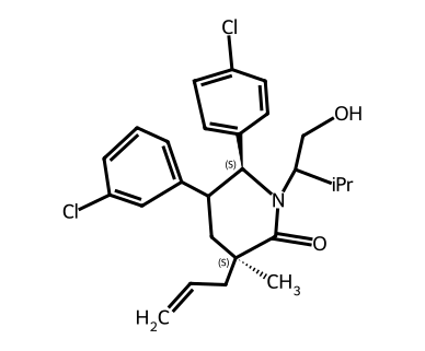 C=CC[C@@]1(C)CC(c2cccc(Cl)c2)[C@@H](c2ccc(Cl)cc2)N(C(CO)C(C)C)C1=O